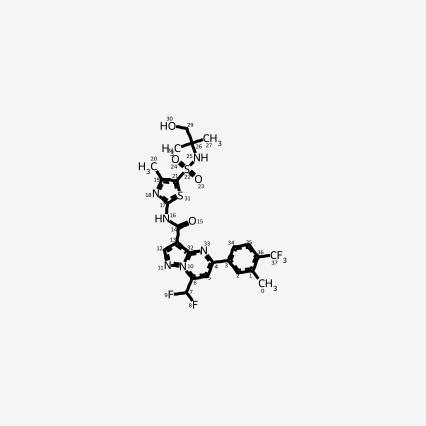 Cc1cc(-c2cc(C(F)F)n3ncc(C(=O)Nc4nc(C)c(S(=O)(=O)NC(C)(C)CO)s4)c3n2)ccc1C(F)(F)F